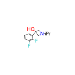 CC(C)N1CC(O)(c2cccc(F)c2F)C1